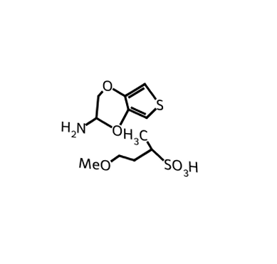 COCCC(C)S(=O)(=O)O.NC1COc2cscc2O1